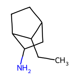 CCC1C2CCC1C(N)C2